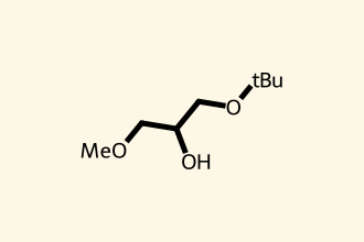 COCC(O)COC(C)(C)C